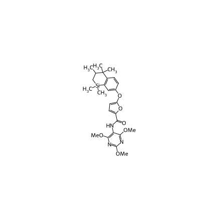 COc1nc(OC)c(NC(=O)c2ccc(Oc3ccc4c(c3)[Si](C)(C)CC(C)C4(C)C)o2)c(OC)n1